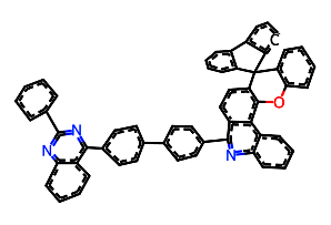 c1ccc(-c2nc(-c3ccc(-c4ccc(-c5nc6ccccc6c6c7c(ccc56)C5(c6ccccc6O7)c6ccccc6-c6ccccc65)cc4)cc3)c3ccccc3n2)cc1